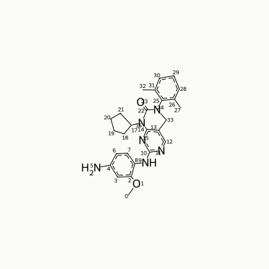 COc1cc(N)ccc1Nc1ncc2c(n1)N(C1CCCC1)C(=O)N(c1c(C)cccc1C)C2